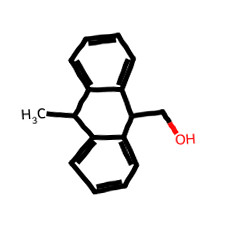 CC1c2ccccc2C(CO)c2ccccc21